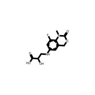 CN1C(=O)OCc2cc(NCC(O)C(=O)O)cc(F)c21